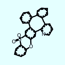 O=S1(=O)c2ccccc2Oc2cc3c(cc21)-c1ccccc1-c1ccccc1-c1cccnc1-3